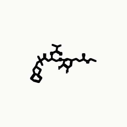 CCOC(=O)CCc1cc(F)c(F)c(OCC(CNC(C)(C)CC2Cc3ccccc3C2)OC(=O)C(C)C)c1